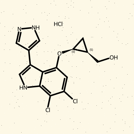 Cl.OC[C@@H]1C[C@@H]1Oc1cc(Cl)c(Cl)c2[nH]cc(-c3cn[nH]c3)c12